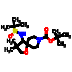 CC(C)(C)OC(=O)N1CCC2(CC1)OCC(C)(C)C2N[S@+]([O-])C(C)(C)C